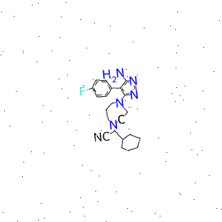 N#CC(C1CCCCC1)N1CCCN(c2ncnc(N)c2-c2ccc(F)cc2)CC1